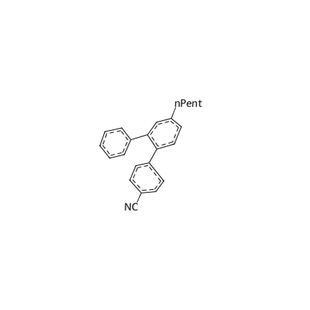 CCCCCc1ccc(-c2ccc(C#N)cc2)c(-c2ccccc2)c1